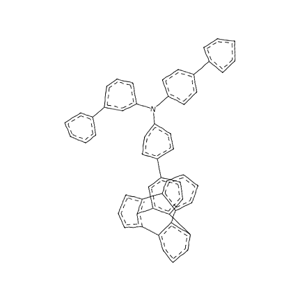 c1ccc(-c2ccc(N(c3ccc(-c4ccc5c(c4)-c4c6cccc4-c4cccc-5c4-c4ccccc4-6)cc3)c3cccc(-c4ccccc4)c3)cc2)cc1